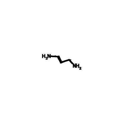 N[CH]C=CN